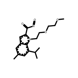 COCCOCCn1c(C(=O)N=O)cc2cc(C)cc(C(C)C)c21